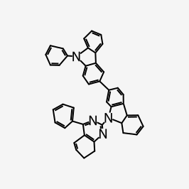 C1=CCC2C(=C1)c1ccc(-c3ccc4c(c3)c3ccccc3n4-c3ccccc3)cc1N2c1nc2c(c(-c3ccccc3)n1)C=CCC2